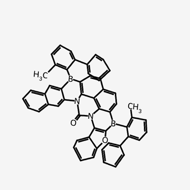 Cc1cccc(-c2ccccc2)c1B1c2cc3ccccc3cc2N2C(=O)N3c4c(oc5ccccc45)B(c4c(C)cccc4-c4ccccc4)c4ccc5ccc1c2c5c43